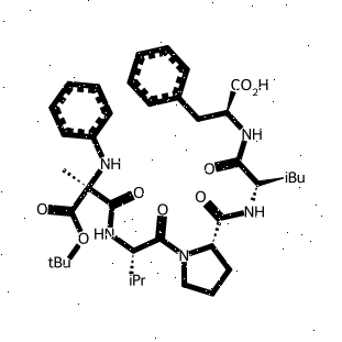 CC[C@H](C)[C@H](NC(=O)[C@@H]1CCCN1C(=O)[C@@H](NC(=O)[C@](C)(Nc1ccccc1)C(=O)OC(C)(C)C)C(C)C)C(=O)N[C@@H](Cc1ccccc1)C(=O)O